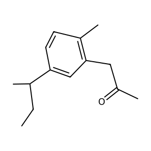 CCC(C)c1ccc(C)c(CC(C)=O)c1